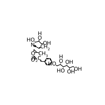 C1CO1.C=CC#N.C=Cc1ccccc1.CC1CO1.OCC(O)CO.OC[C@@H](O)[C@@H](O)[C@H](O)[C@@H](O)CO